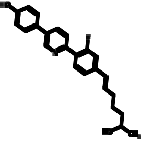 CC(O)CCCC=Cc1ccc(-c2ccc(-c3ccc(O)cc3)cn2)c(F)c1